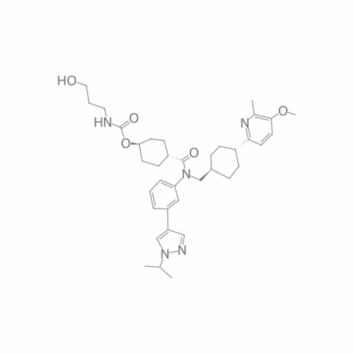 COc1ccc([C@H]2CC[C@H](CN(c3cccc(-c4cnn(C(C)C)c4)c3)C(=O)[C@H]3CC[C@H](OC(=O)NCCCO)CC3)CC2)nc1C